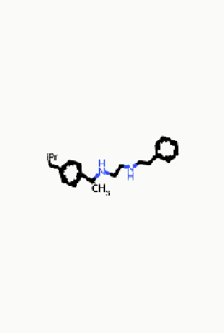 CC(C)Cc1ccc(C(C)NCCNCCc2ccccc2)cc1